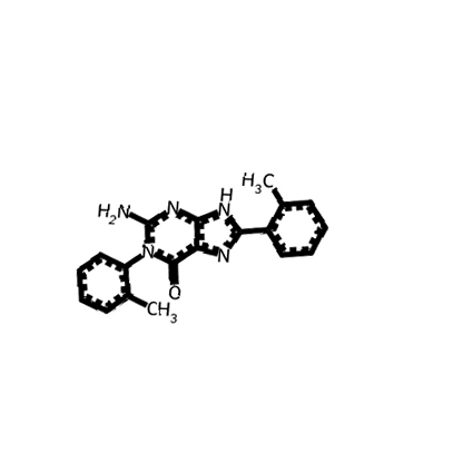 Cc1ccccc1-c1nc2c(=O)n(-c3ccccc3C)c(N)nc2[nH]1